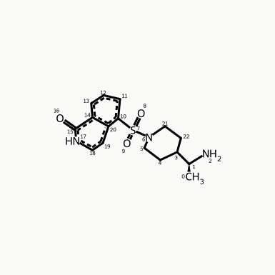 C[C@H](N)C1CCN(S(=O)(=O)c2cccc3c(=O)[nH]ccc23)CC1